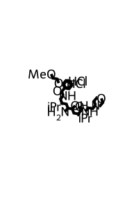 COCCOc1ccccc1C(=O)NCC(CC(N)C(O)CC(C(=O)NCCN1CCOCC1)C(C)C)C(C)C.Cl.Cl